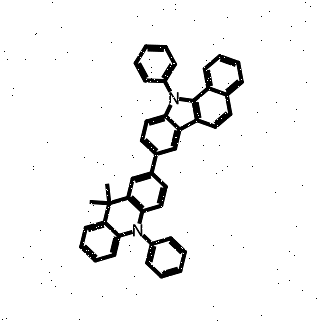 CC1(C)c2ccccc2N(c2ccccc2)c2ccc(-c3ccc4c(c3)c3ccc5ccccc5c3n4-c3ccccc3)cc21